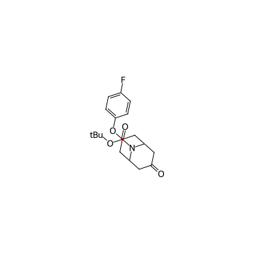 CC(C)(C)OC(=O)N1C2CC(=O)CC1CC(Oc1ccc(F)cc1)C2